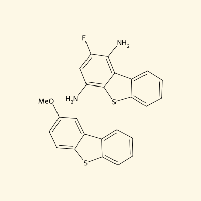 COc1ccc2sc3ccccc3c2c1.Nc1cc(F)c(N)c2c1sc1ccccc12